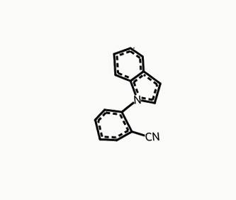 N#Cc1ccccc1-n1ccc2c[c]ccc21